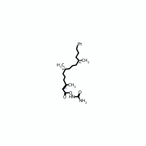 C/C(=C\C(=O)ONC(N)=O)CCC[C@H](C)CCC[C@H](C)CCCC(C)C